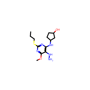 CCCSc1nc(NC2CCC(O)C2)c(NN)c(OC)n1